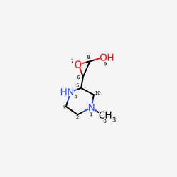 CN1CCNC(C2OC2O)C1